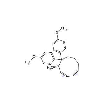 C=C1/C=C\C=C/CCCC1(c1ccc(OC)cc1)c1ccc(OC)cc1